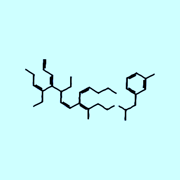 C=C/C=C(\C(=C/CC)CC)C(\C=C/C(/C=C\CCC)=C(\C)CCSC(C)Cc1cccc(C)c1)CC